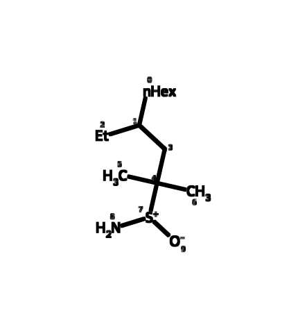 CCCCCCC(CC)CC(C)(C)[S+](N)[O-]